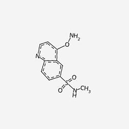 CNS(=O)(=O)c1ccc2nccc(ON)c2c1